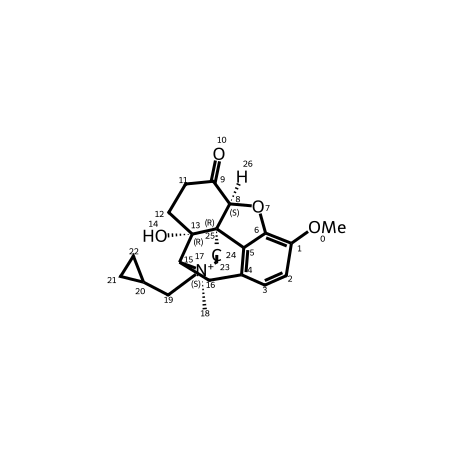 COc1ccc2c3c1O[C@@H]1C(=O)CC[C@]4(O)C(C2)[N@+](C)(CC2CC2)CC[C@@]314